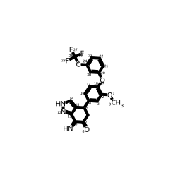 COc1cc(C2CC(=O)C(=N)c3n[nH]cc32)ccc1Oc1cccc(OC(F)(F)F)c1